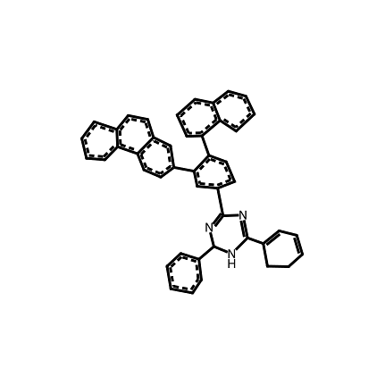 C1=CCCC(C2=NC(c3ccc(-c4cccc5ccccc45)c(-c4ccc5c(ccc6ccccc65)c4)c3)=NC(c3ccccc3)N2)=C1